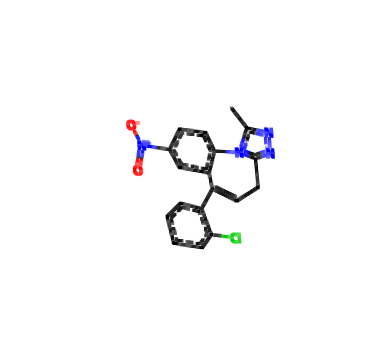 Cc1nnc2n1-c1ccc([N+](=O)[O-])cc1C(c1ccccc1Cl)=CC2